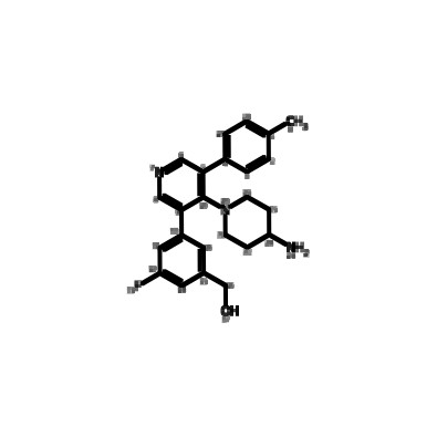 Cc1ccc(-c2cncc(-c3cc(F)cc(CO)c3)c2N2CCC(N)CC2)cc1